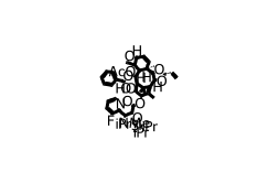 C=C[C@@H]1O[C@@H]2C3=C(C)[C@@H](OC(=O)[C@H](O[Si](C(C)C)(C(C)C)C(C)C)[C@@H](NC)c4ncccc4F)C[C@@](O)([C@@H](OC(=O)c4ccccc4)[C@H]4[C@@](C)(C=C[C@H]5OC[C@]54OC(C)=O)[C@@H]2O1)C3(C)C